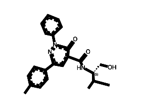 Cc1ccc(-c2cc(C(=O)N[C@H](CO)C(C)C)c(=O)n(-c3ccccc3)n2)cc1